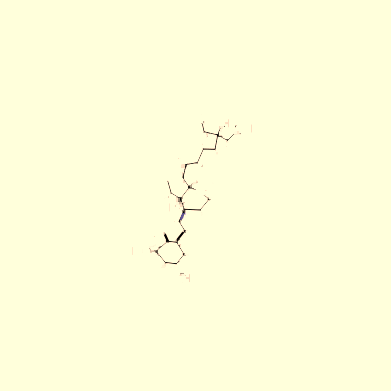 C=C1/C(=C\C=C2/CCC[C@]3(C)[C@@H]([C@H](C)CCCC(O)(CC)CC)CC[C@@H]23)C[C@H](O)C[C@@H]1O